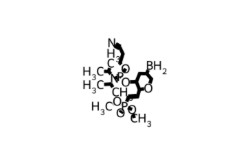 BC1COC(/C=C/P(=O)(OC)OC)C(OP(OCCC#N)N(C(C)C)C(C)C)C1